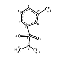 CN(C)S(=O)(=O)c1cncc(C(F)(F)F)c1